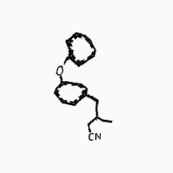 C[C](CC#N)Cc1cccc(Oc2ccccc2)c1